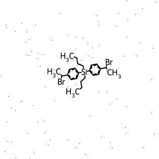 CCCC[Si](CCCC)(c1ccc(C(C)Br)cc1)c1ccc(C(C)Br)cc1